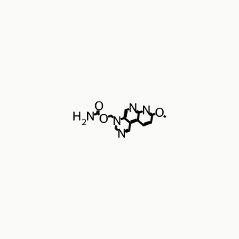 COc1ccc2c3c(cnc2n1)N(COC(N)=O)CN=C3